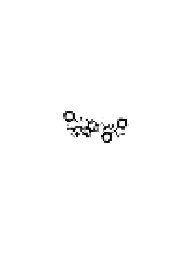 O=C(Nc1nc(Cl)c2c(ncn2C(Cc2ccccc2)C(=O)O)n1)OC(O)(c1ccccc1)c1ccccc1